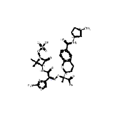 CC(O/N=C(\C(=O)N[C@@H]1C(=O)N(OS(=O)(=O)O)C1(C)C)c1csc(N)n1)(C(=O)O)[C@H]1CCc2cc(C(=N)N[C@H]3CC[C@@H](N)C3)ccc2O1